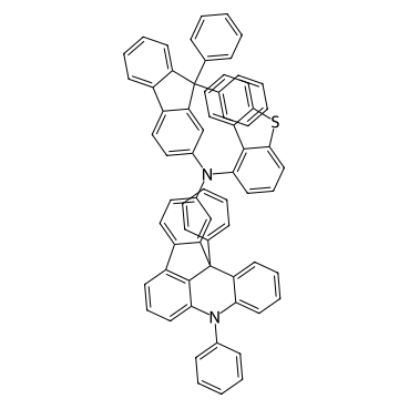 c1ccc(N2c3ccccc3C3(c4ccccc4)c4cc(N(c5ccc6c(c5)C(c5ccccc5)(c5ccccc5)c5ccccc5-6)c5cccc6sc7ccccc7c56)ccc4-c4cccc2c43)cc1